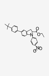 CCOC(=O)C1Cc2cc(-c3ccc(C(C)(C)C)cc3)ccc2N1c1ccc([N+](=O)[O-])cc1